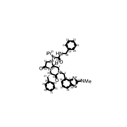 CNc1nc2c(CN3C[C@H]4N(C(=O)CN4N(C(=O)NCc4ccccc4)C(C)C)[C@@H](Cc4ccccc4)C3=O)cccc2s1